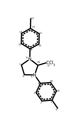 Cc1ccc(N2CCN(c3ccc(C)cc3)C2C(Cl)(Cl)Cl)cc1